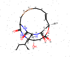 CC[C@H](C)[C@H]1NC(=O)C2CSSCC/C=C/[C@H](CC(=O)N[C@H](C)C(=O)N2)OC(=O)C[C@@H]1O